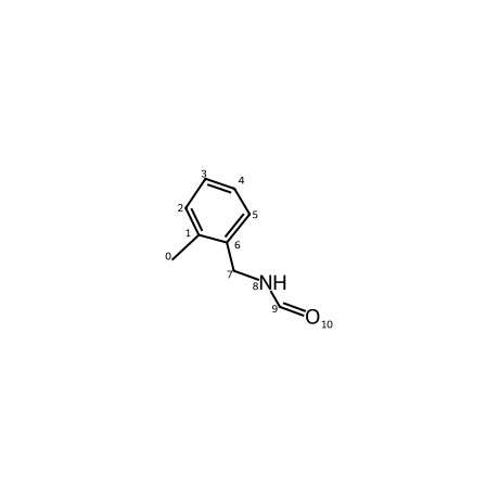 Cc1ccccc1CNC=O